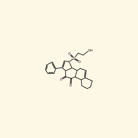 O=C1C(=O)C2C3CCCCC3=CCC2C2C1C(c1ccccc1)=CN2S(=O)(=O)CCO